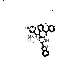 CS(=O)(=O)O.O=C(N[C@H]1N=C(c2ccccc2F)c2ccccc2N(Cc2c[nH]cn2)C1=O)c1cc2ccccc2[nH]1